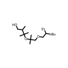 CCCCC(CC)COCC(C)(C)OC(C)(C)C(C)CO